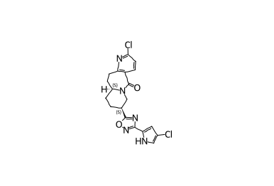 O=C1c2ccc(Cl)nc2CC[C@@H]2CC[C@H](c3nc(-c4cc(Cl)c[nH]4)no3)CN12